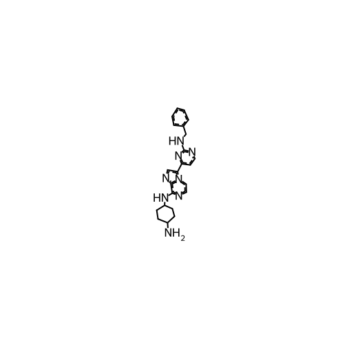 NC1CCC(Nc2nccn3c(-c4ccnc(NCc5ccccc5)n4)cnc23)CC1